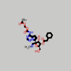 CN=C[C@@]1(c2ccc3c(NC(=O)OCOC(=O)C(C)(C)C)ncnn23)O[C@H](CO)[C@@H](OC(=O)CC2CCCCC2)[C@H]1O